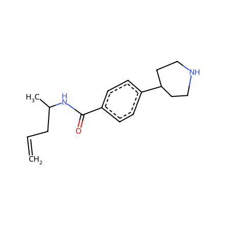 C=CCC(C)NC(=O)c1ccc(C2CCNCC2)cc1